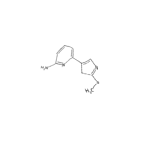 CSC1=NC=C(c2cccc(N)n2)C1